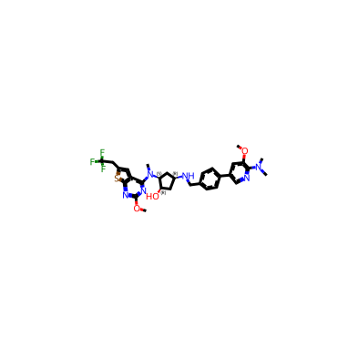 COc1nc(N(C)[C@H]2C[C@@H](NCc3ccc(-c4cnc(N(C)C)c(OC)c4)cc3)C[C@H]2O)c2cc(CC(F)(F)F)sc2n1